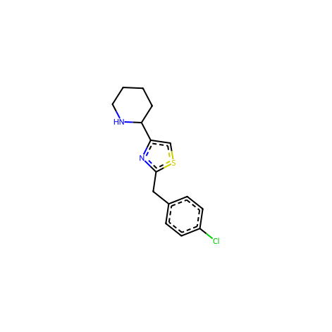 Clc1ccc(Cc2nc(C3CCCCN3)cs2)cc1